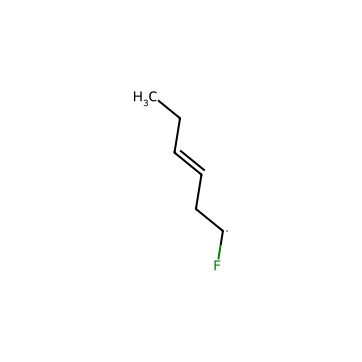 CCC=CC[CH]F